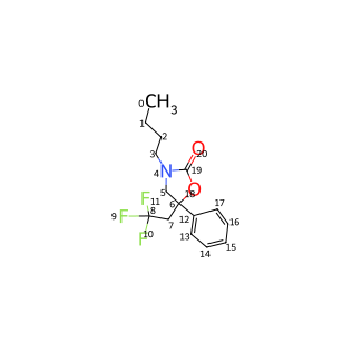 CCCCN1CC(CC(F)(F)F)(c2ccccc2)OC1=O